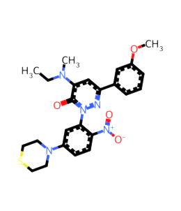 CCN(C)c1cc(-c2cccc(OC)c2)nn(-c2cc(N3CCSCC3)ccc2[N+](=O)[O-])c1=O